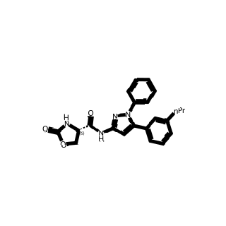 CCCc1cccc(-c2cc(NC(=O)[C@@H]3COC(=O)N3)nn2-c2ccccc2)c1